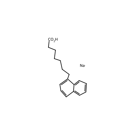 O=C(O)CCCCCCc1cccc2ccccc12.[Na]